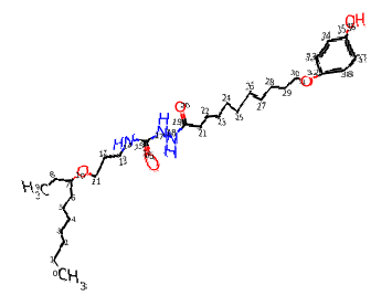 CCCCCCCC(CC)OCCCNC(=O)NNC(=O)CCCCCCCCCCOc1ccc(O)cc1